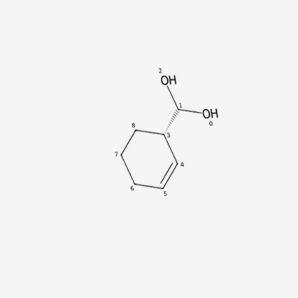 OC(O)[C@@H]1C=CCCC1